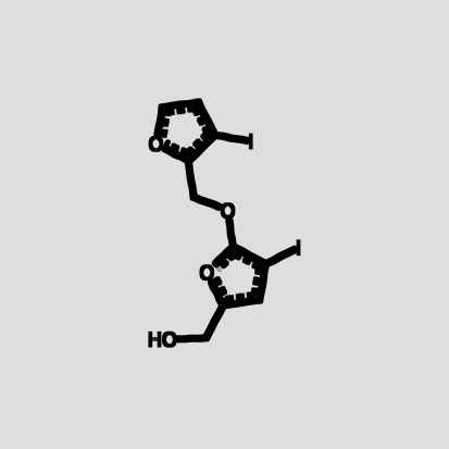 OCc1cc(I)c(OCc2occc2I)o1